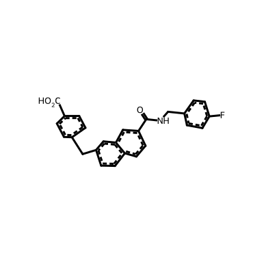 O=C(O)c1ccc(Cc2ccc3ccc(C(=O)NCc4ccc(F)cc4)cc3c2)cc1